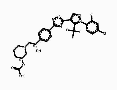 O=C(O)O[C@H]1CCCN(C[C@@H](O)c2ccc(-c3noc(-c4cnn(-c5ncc(Cl)cc5Cl)c4C(F)(F)F)n3)cc2)C1